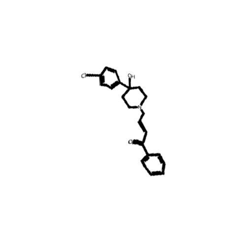 O=C(C=CCN1CCC(O)(c2ccc(Cl)cc2)CC1)c1ccccc1